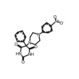 O=C1NC(=O)C(c2ccccc2)(N2CCN(c3ccc([N+](=O)[O-])cc3)CC2)C(=O)N1